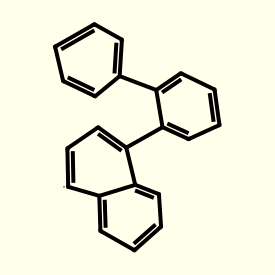 [c]1ccc(-c2ccccc2-c2ccccc2)c2ccccc12